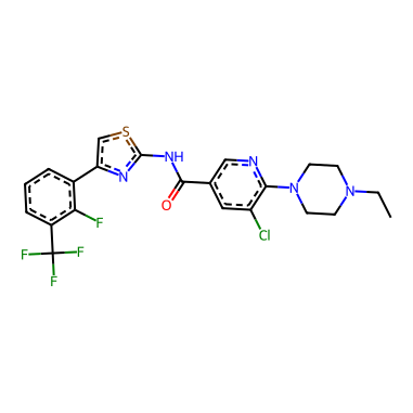 CCN1CCN(c2ncc(C(=O)Nc3nc(-c4cccc(C(F)(F)F)c4F)cs3)cc2Cl)CC1